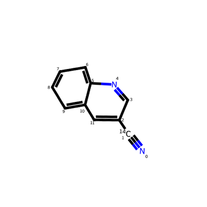 N#[14C]c1cnc2ccccc2c1